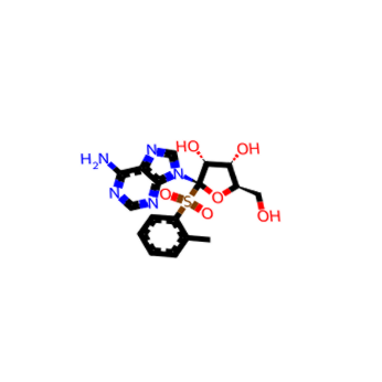 Cc1ccccc1S(=O)(=O)[C@@]1(n2cnc3c(N)ncnc32)O[C@H](CO)[C@@H](O)[C@H]1O